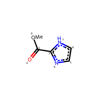 COC(=O)c1ncc[nH]1